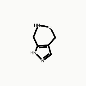 c1n[nH]c2c1CONC2